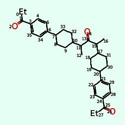 CCC(=O)c1ccc(C2CCC(C(C)C(=O)C(C)C3CCC(c4ccc(C(=O)CC)cc4)CC3)CC2)cc1